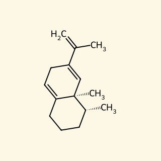 C=C(C)C1=C[C@]2(C)C(=CC1)CCC[C@H]2C